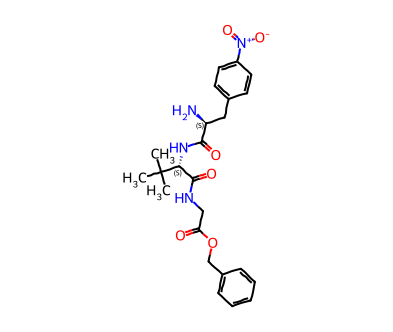 CC(C)(C)[C@H](NC(=O)[C@@H](N)Cc1ccc([N+](=O)[O-])cc1)C(=O)NCC(=O)OCc1ccccc1